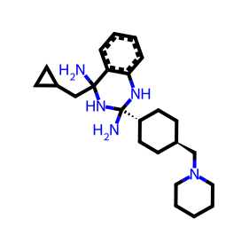 NC1(CC2CC2)NC(N)([C@H]2CC[C@H](CN3CCCCC3)CC2)Nc2ccccc21